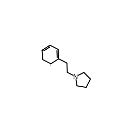 [CH]1CC=CC=C1CCN1CCCC1